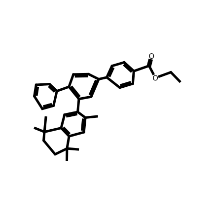 CCOC(=O)c1ccc(-c2ccc(-c3ccccc3)c(-c3cc4c(cc3C)C(C)(C)CCC4(C)C)c2)cc1